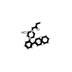 CCC(=O)CN1CCN(c2ccccc2C2=CCC3(CCCCC3)CC2)CC1.Cl